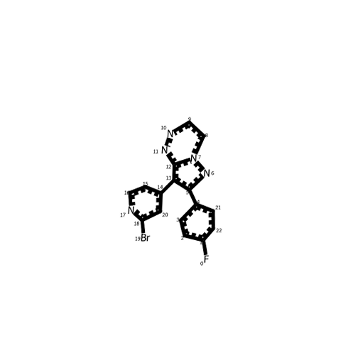 Fc1ccc(-c2nn3ccnnc3c2-c2ccnc(Br)c2)cc1